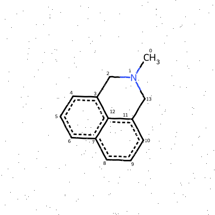 CN1Cc2cccc3cccc(c23)C1